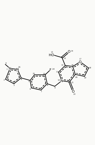 Cn1ccc(-c2ccc(Cn3cc(C(=O)O)c4occc4c3=O)c(F)c2)n1